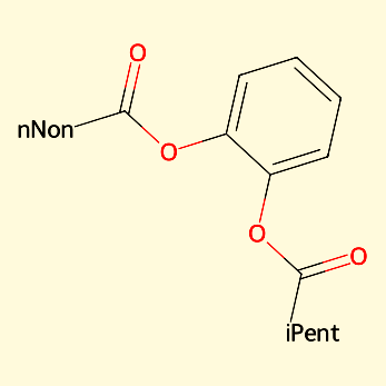 CCCCCCCCCC(=O)Oc1ccccc1OC(=O)C(C)CCC